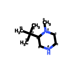 CN1CCNCC1C(C)(C)C